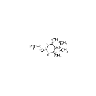 CCO[C@H]1C[C@@H](C)N(C(C)C)[C@@H](C)C1